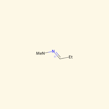 CC/C=N/NC